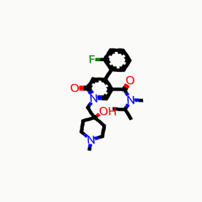 CC(C)N(C)C(=O)c1cn(CC2(O)CCN(C)CC2)c(=O)cc1-c1ccccc1F